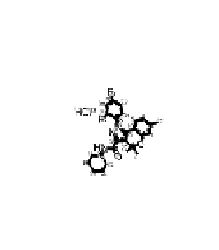 CC1(C)Oc2cc(I)ccc2-c2c1c(C(=O)NN1CCCCC1)nn2-c1ccc(F)cc1F.Cl